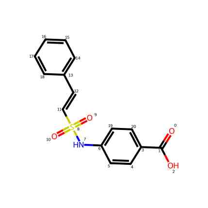 O=C(O)c1ccc(NS(=O)(=O)C=Cc2ccccc2)cc1